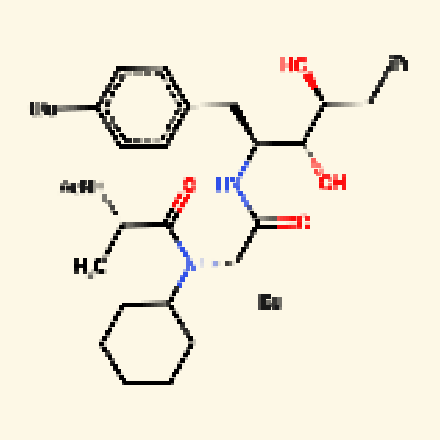 CC[C@H](C)[C@@H](C(=O)N[C@@H](Cc1ccc(C(C)(C)C)cc1)[C@@H](O)[C@@H](O)CC(C)C)N(C(=O)[C@H](C)NC(C)=O)C1CCCCC1